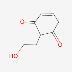 O=C1C=CCC(=O)C1CCO